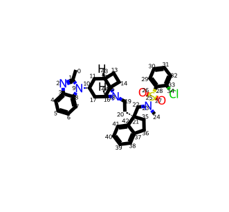 Cc1nc2ccccc2n1[C@@H]1C[C@@H]2CCC23[C@H](C1)N3CC[C@]1(CN(C)S(=O)(=O)c2ccccc2Cl)CCc2ccccc21